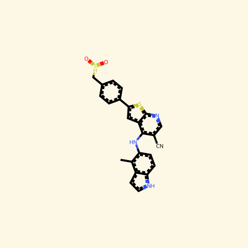 Cc1c(Nc2c(C#N)cnc3sc(-c4ccc(C[SH](=O)=O)cc4)cc23)ccc2[nH]ccc12